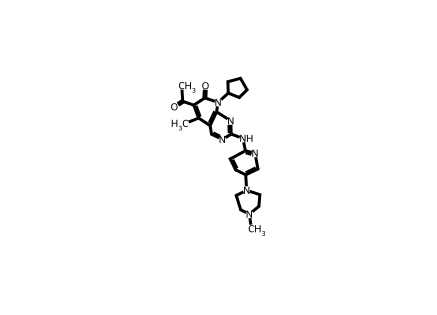 CC(=O)c1c(C)c2cnc(Nc3ccc(N4CCN(C)CC4)cn3)nc2n(C2CCCC2)c1=O